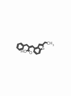 CCc1cc2c(C=C(Cc3ccccc3)C(=O)O)cccc2s1